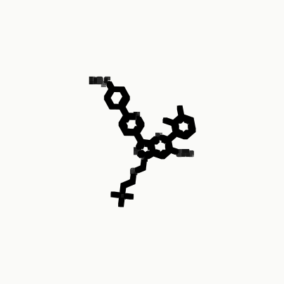 CCOC(=O)C1CC=C(c2ccc(-c3nn(COCC[Si](C)(C)C)c4cc(OC)c(-c5cccc(C)c5C)nc34)cn2)CC1